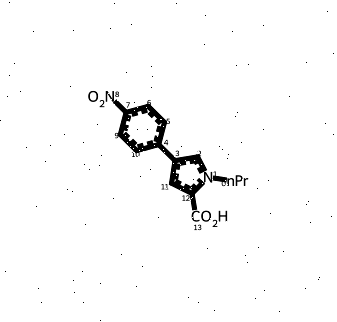 CCCn1cc(-c2ccc([N+](=O)[O-])cc2)cc1C(=O)O